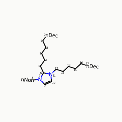 CCCCCCCCCCCCCCCC1N(CCCCCCCCC)C=CN1CCCCCCCCCCCCCCC